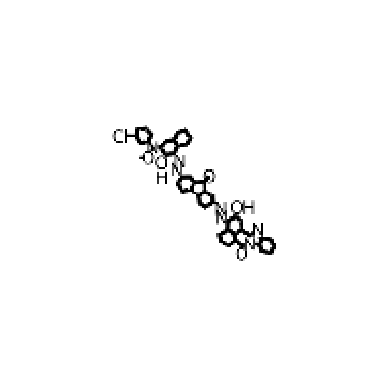 CON(c1cccc(Cl)c1)c1cc2ccccc2c(N=Nc2ccc3c(c2)C(=O)c2cc(N=Nc4c(O)cc5c6c4cccc6c(=O)n4c6ccccc6nc54)ccc2-3)c1O